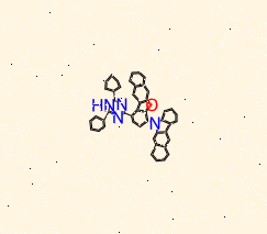 c1ccc(C2=NC(c3ccc(-n4c5ccccc5c5cc6ccccc6cc54)c4oc5cc6ccccc6cc5c34)=NC(c3ccccc3)N2)cc1